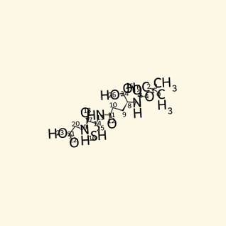 CC(C)(C)OC(=O)N[C@@H](CCC(=O)N[C@@H](CS)C(=O)NCC(=O)O)C(=O)O